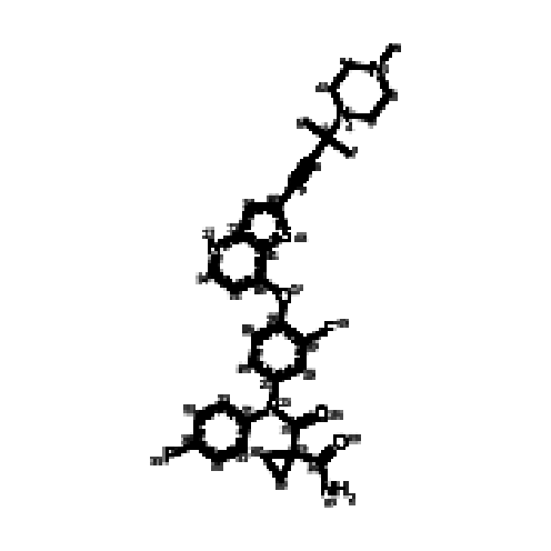 CN1CCN(C(C)(C)C#Cc2cc3nccc(Oc4ccc(N(C(=O)C5(C(N)=O)CC5)c5ccc(F)cc5)cc4F)c3s2)CC1